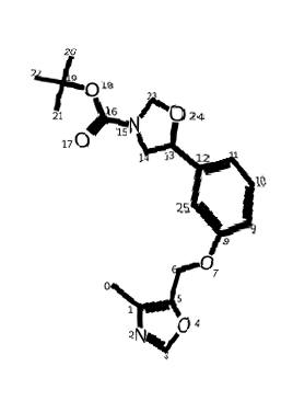 Cc1ncoc1COc1cccc(C2CN(C(=O)OC(C)(C)C)CO2)c1